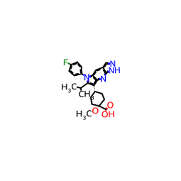 CO[C@]1(C(=O)O)CC[C@H](c2c(C(C)C)n(-c3ccc(F)cc3)c3cc4cn[nH]c4nc32)CC1